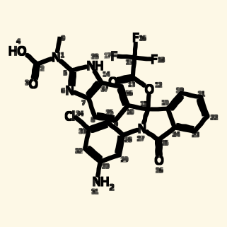 CN(C(=O)O)c1nc2ccc(C3(OC(=O)C(F)(F)F)c4ccccc4C(=O)N3c3cc(N)cc(Cl)c3)cc2[nH]1